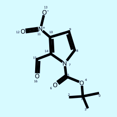 CC(C)(C)OC(=O)n1ccc([N+](=O)[O-])c1C=O